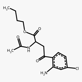 CCCCOC(=O)C(CC(=O)c1ccc(Cl)cc1N)NC(C)=O